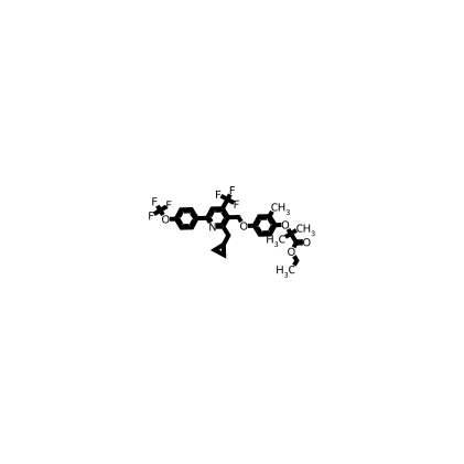 CCOC(=O)C(C)(C)Oc1ccc(OCc2c(C(F)(F)F)cc(-c3ccc(OC(F)(F)F)cc3)nc2CC2CC2)cc1C